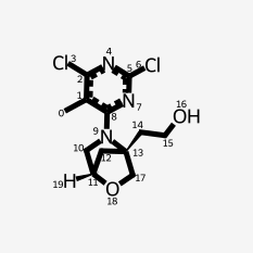 Cc1c(Cl)nc(Cl)nc1N1C[C@@H]2C[C@@]1(CCO)CO2